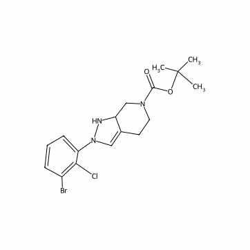 CC(C)(C)OC(=O)N1CCC2=CN(c3cccc(Br)c3Cl)NC2C1